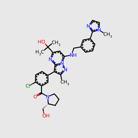 Cc1nn2c(NCc3cccc(-c4nccn4C)c3)cc(C(C)(C)O)nc2c1-c1ccc(Cl)c(C(=O)N2CCC[C@@H]2CO)c1